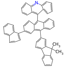 CC1(C)c2ccccc2-c2ccc(-c3c4ccccc4c(-c4c5ccccc5nc5ccccc45)c4ccc(-c5cccc6ccccc56)cc34)cc21